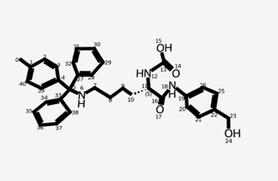 Cc1ccc(C(NCCCC[C@H](NC(=O)O)C(=O)Nc2ccc(CO)cc2)(c2ccccc2)c2ccccc2)cc1